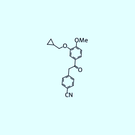 COc1ccc(C(=O)Cc2ccc(C#N)cc2)cc1OCC1CC1